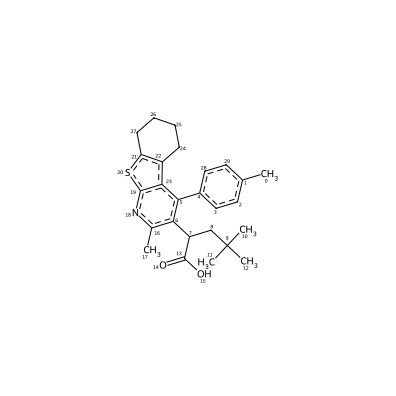 Cc1ccc(-c2c(C(CC(C)(C)C)C(=O)O)c(C)nc3sc4c(c23)CCCC4)cc1